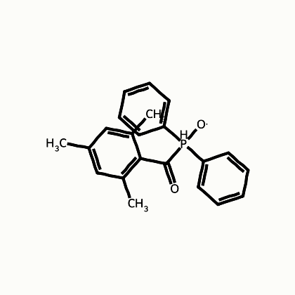 Cc1cc(C)c(C(=O)[PH]([O])(c2ccccc2)c2ccccc2)c(C)c1